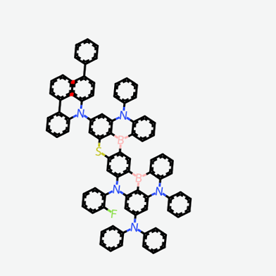 Fc1ccccc1N1c2cc3c(cc2B2c4ccccc4N(c4ccccc4)c4cc(N(c5ccccc5)c5ccccc5)cc1c42)B1c2ccccc2N(c2ccccc2)c2cc(N(c4ccc(-c5ccccc5)cc4)c4ccccc4-c4ccccc4)cc(c21)S3